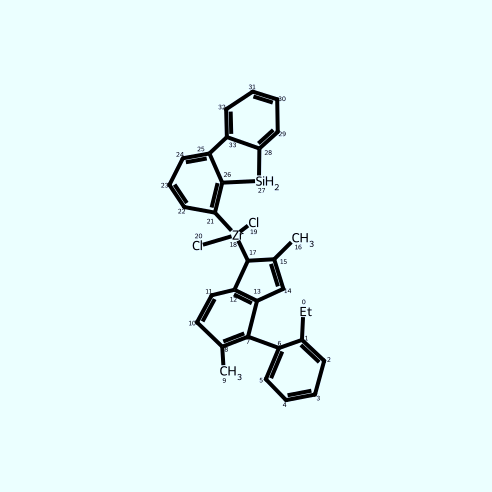 CCc1ccccc1-c1c(C)ccc2c1C=C(C)[CH]2[Zr]([Cl])([Cl])[c]1cccc2c1[SiH2]c1ccccc1-2